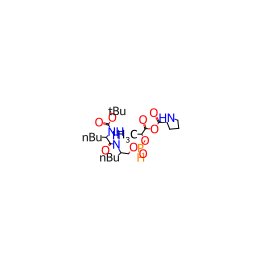 CCCCC(CO[PH](=O)OC(C)C(=O)OC(=O)[C@@H]1CCCN1)NC(=O)C(CCCC)NC(=O)OC(C)(C)C